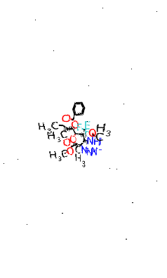 CC[C@@H](C)[C@@H](OC(=O)c1ccccc1)C1O[C@@](C)(C(=O)OC)C(N=[N+]=[N-])[C@H](NC(C)=O)[C@H]1C(F)(F)F